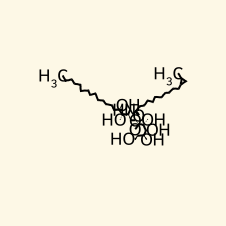 CCCCCCCCCCCCCC[C@@H](O)[C@@H](O)[C@H](CO[C@H]1O[C@H](CO)[C@H](O)[C@H](O)[C@H]1O)NC(=O)CCCCCCCCCCC1CC1C